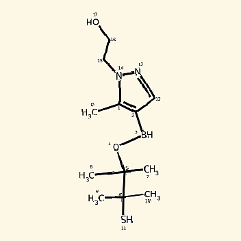 Cc1c(BOC(C)(C)C(C)(C)S)cnn1CCO